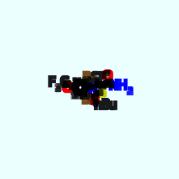 CCCCOC1SC(C(N)=O)=C(C(F)(F)F)N1c1c(Br)cc(OC(F)(F)F)cc1Br